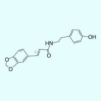 O=C(/C=C/c1ccc2c(c1)OCO2)NCCc1ccc(O)cc1